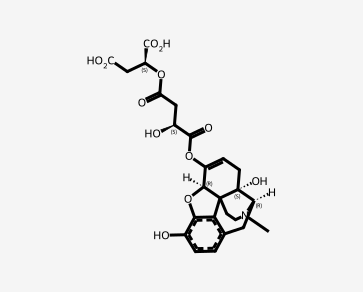 CN1CCC23c4c5ccc(O)c4O[C@H]2C(OC(=O)[C@@H](O)CC(=O)O[C@@H](CC(=O)O)C(=O)O)=CC[C@@]3(O)[C@H]1C5